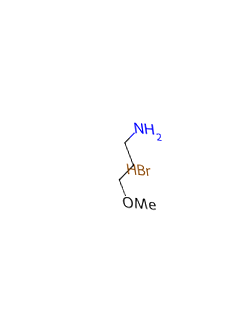 Br.COCCCN